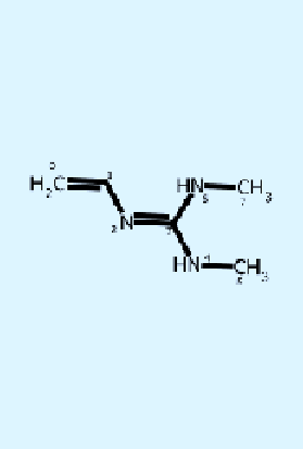 C=CN=C(NC)NC